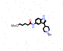 COCCCCC(=O)Nc1ccc2[nH]cc(C3CCN(C(C)C)CC3)c2c1